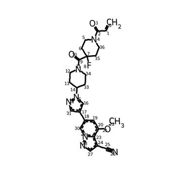 C=CC(=O)N1CCC(F)(C(=O)N2CCC(n3cc(-c4cc(OC)c5c(C#N)cnn5c4)cn3)CC2)CC1